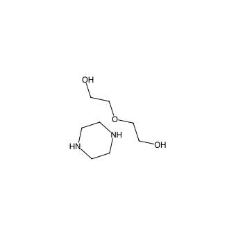 C1CNCCN1.OCCOCCO